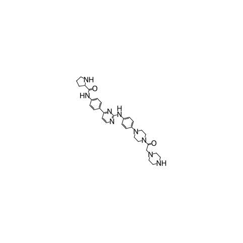 O=C(Nc1ccc(-c2ccnc(Nc3ccc(N4CCN(C(=O)CN5CCNCC5)CC4)cc3)n2)cc1)C1CCCN1